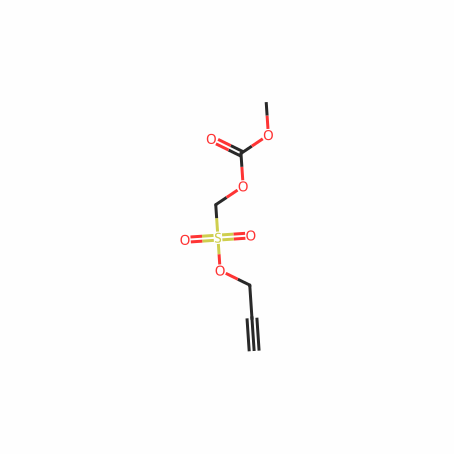 C#CCOS(=O)(=O)COC(=O)OC